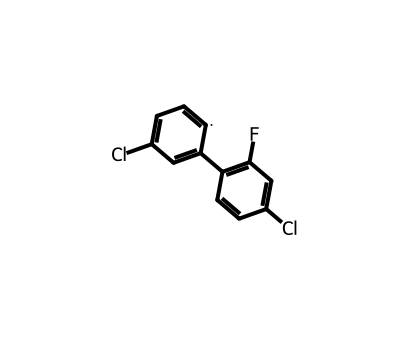 Fc1cc(Cl)ccc1-c1[c]ccc(Cl)c1